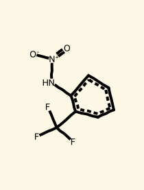 O=[N+]([O-])Nc1ccccc1C(F)(F)F